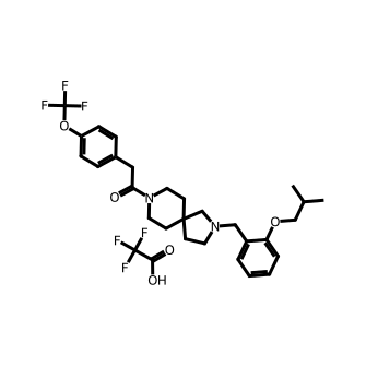 CC(C)COc1ccccc1CN1CCC2(CCN(C(=O)Cc3ccc(OC(F)(F)F)cc3)CC2)C1.O=C(O)C(F)(F)F